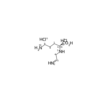 Cl.Cl.N=CCN[C@@H](CCCN)C(=O)O